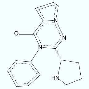 O=c1c2cccn2nc([C@@H]2CCCN2)n1-c1ccccc1